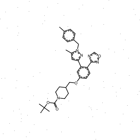 Cc1ccc(Cn2nc(-c3cc(OCC4CCN(C(=O)OC(C)(C)C)CC4)ccc3-c3ncon3)cc2C)cc1